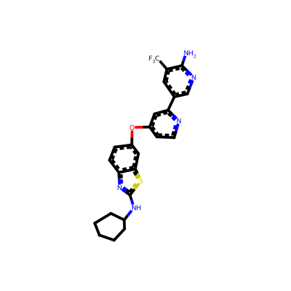 Nc1ncc(-c2cc(Oc3ccc4nc(NC5CCCCC5)sc4c3)ccn2)cc1C(F)(F)F